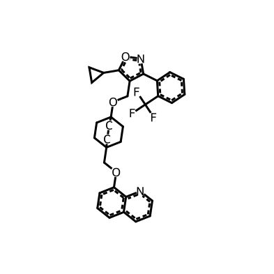 FC(F)(F)c1ccccc1-c1noc(C2CC2)c1COC12CCC(COc3cccc4cccnc34)(CC1)CC2